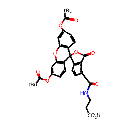 CC(C)(C)C(=O)Oc1ccc2c(c1)Oc1cc(OC(=O)C(C)(C)C)ccc1C21OC(=O)c2cc(C(=O)NCCC(=O)O)ccc21